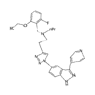 CCCN(CCc1cn(-c2ccc3[nH]nc(-c4ccncc4)c3c2)nn1)Cc1c(F)cccc1OCC#N